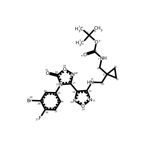 CC(C)(C)OC(=O)NCC1(CNc2nonc2-c2noc(=O)n2-c2ccc(F)c(Br)c2)CC1